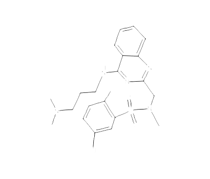 CN(C)CCCNc1nc(CN(C)S(=O)(=O)c2cc(Cl)ccc2Cl)nc2ccccc12